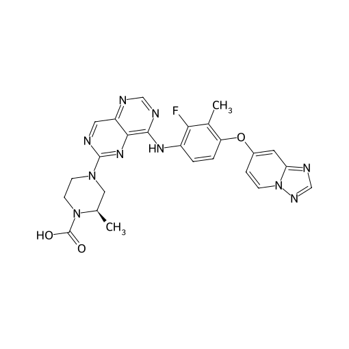 Cc1c(Oc2ccn3ncnc3c2)ccc(Nc2ncnc3cnc(N4CCN(C(=O)O)[C@H](C)C4)nc23)c1F